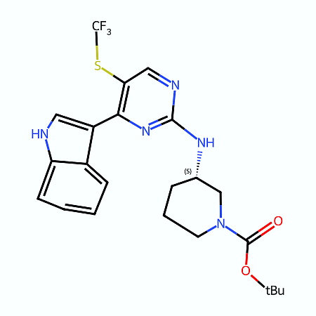 CC(C)(C)OC(=O)N1CCC[C@H](Nc2ncc(SC(F)(F)F)c(-c3c[nH]c4ccccc34)n2)C1